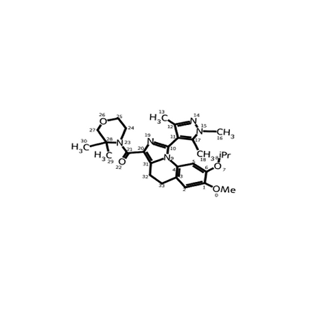 COc1cc2c(cc1OC(C)C)-n1c(-c3c(C)nn(C)c3C)nc(C(=O)N3CCOCC3(C)C)c1CC2